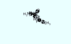 CN1CCN(c2cc(F)c(NC(=O)N3CCc4c(-c5cnc(N)nc5)nc(N5CCOCC5)nc43)c(F)c2)CC1